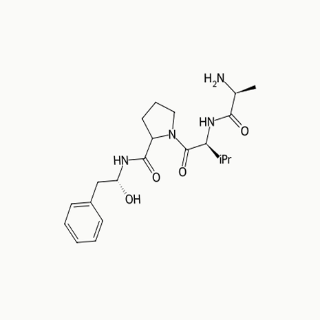 CC(C)[C@H](NC(=O)[C@H](C)N)C(=O)N1CCCC1C(=O)N[C@H](O)Cc1ccccc1